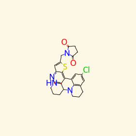 O=C1CCC(=O)N1Cc1cc2nccc(-c3cc(Cl)cc4c3N(C3CCCNC3)CCC4)c2s1